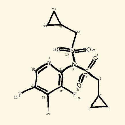 O=S(=O)(CC1CC1)N(c1ncc(F)c(I)c1F)S(=O)(=O)CC1CC1